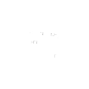 Nc1nc(=O)[nH]c2ccc(F)cc12